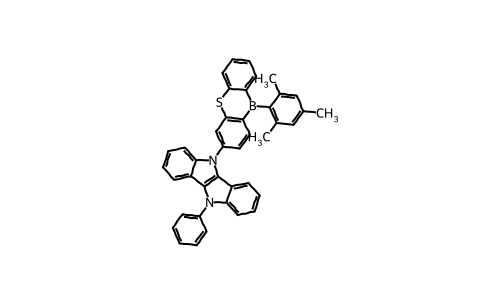 Cc1cc(C)c(B2c3ccccc3Sc3cc(-n4c5ccccc5c5c4c4ccccc4n5-c4ccccc4)ccc32)c(C)c1